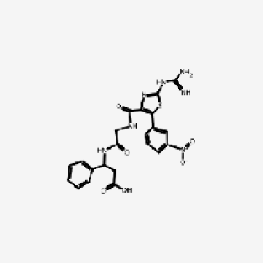 N=C(N)Nc1nc(C(=O)NCC(=O)NC(CC(=O)O)c2ccccc2)c(-c2cccc([N+](=O)[O-])c2)s1